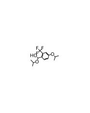 CC(C)Oc1ccc(C(O)OC(C)C)c(C(F)(F)F)c1